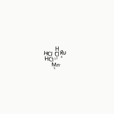 Cl.Cl.Cl.[Mn].[Ru]